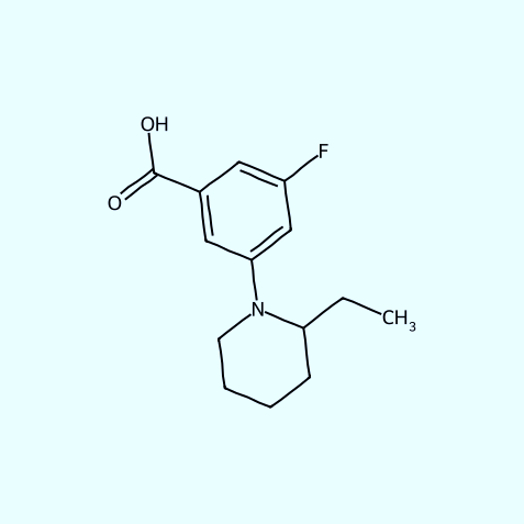 CCC1CCCCN1c1cc(F)cc(C(=O)O)c1